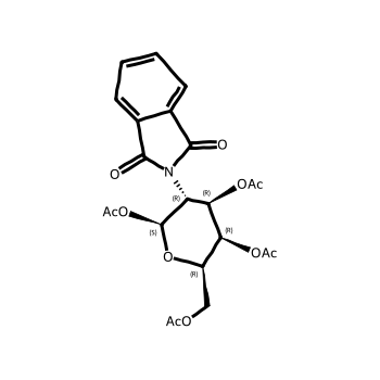 CC(=O)OC[C@H]1O[C@@H](OC(C)=O)[C@H](N2C(=O)c3ccccc3C2=O)[C@@H](OC(C)=O)[C@H]1OC(C)=O